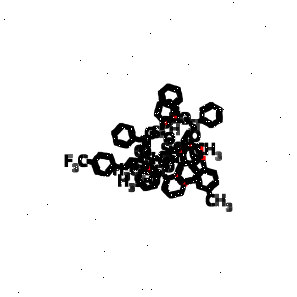 Cc1ccc(/C=C/[Si]2(C)O[Si]3(c4ccccc4)O[SiH](c4ccccc4)O[Si]4(c5ccccc5)O[Si]5(c6ccccc6)O[Si](C)(/C=C/c6ccc(C(F)(F)F)cc6)O[Si](O[SiH3])(c6ccccc6)O[Si@](c6ccccc6)(O3)O[Si@@](c3ccccc3)(O5)O[Si](c3ccccc3)(O2)O4)cc1